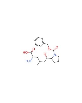 CC(CC(=O)C1CCCN1C(=O)OCc1ccccc1)C[C@@H](N)C(=O)O